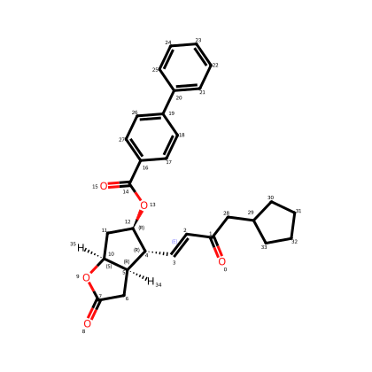 O=C(/C=C/[C@@H]1[C@H]2CC(=O)O[C@H]2C[C@H]1OC(=O)c1ccc(-c2ccccc2)cc1)CC1CCCC1